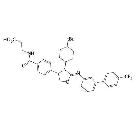 CC(C)(C)C1CCC(N2C(=Nc3cccc(-c4ccc(C(F)(F)F)cc4)c3)OCC2c2ccc(C(=O)NCCC(=O)O)cc2)CC1